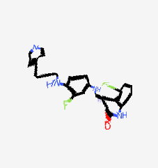 O=C1Nc2cccc(F)c2/C1=C\Nc1ccc(NCCc2ccncc2)c(F)c1